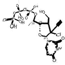 C#CC1(Cl)C(CO)[C@@H]([C@H](C)OP(=O)(O)OP(=O)(O)OP(=O)(O)O)O[C@H]1n1ccc(=O)[nH]c1=O